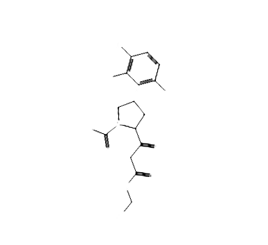 CCOC(=O)CC(=O)C1C[C@@H](c2c(F)ccc(F)c2F)CN1C(=O)O